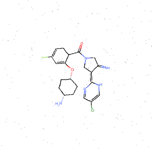 N=C1CN(C(=O)C2CC=C(F)C=C2O[C@H]2CC[C@@H](N)CC2)C/C1=C1\N=CC(Cl)=CN1